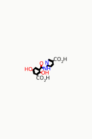 O=C(O)c1ccc(NC(=O)c2cc(O)cc(C(=O)O)c2O)nc1